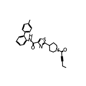 CCC#CC(=O)N1CCC(c2nc(C(=O)Nc3ccccc3-c3ccc(C)cc3)cs2)CC1